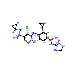 CC1(NC(=N)c2ccnc(Nc3c(F)cc(C(=O)N=C4NCCN4)cc3C3CC3)c2Cl)CC1